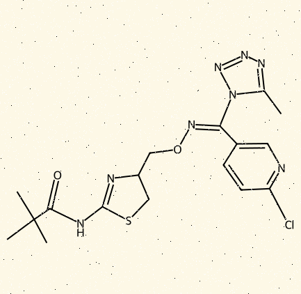 Cc1nnnn1/C(=N/OCC1CSC(NC(=O)C(C)(C)C)=N1)c1ccc(Cl)nc1